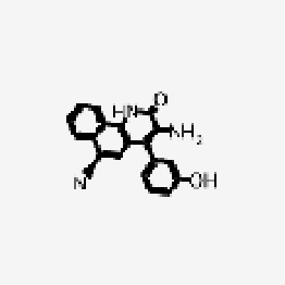 N#Cc1cc2c(-c3cccc(O)c3)c(N)c(=O)[nH]c2c2ccccc12